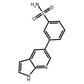 NS(=O)(=O)c1cccc(-c2cnc3[nH]ccc3c2)c1